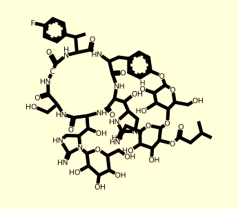 CC(C)CC(=O)OC1C(OC2C(CO)OC(Oc3ccc(CC4NC(=O)C(C(C)c5ccc(F)cc5)NC(=O)CNC(=O)C(CO)NC(=O)C(C(O)C5CNC(=N)N5C5OC(CO)C(O)C(O)C5O)NC(=O)C(C(O)C5CNC(=N)N5)NC4=O)cc3)C(O)C2O)OC(CO)C(O)C1O